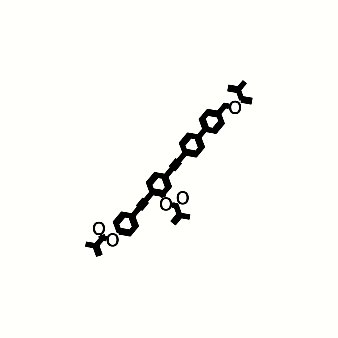 C=C(C)C(=C)OCc1ccc(-c2ccc(C#Cc3ccc(C#Cc4ccc(OC(=O)C(=C)C)cc4)c(OC(=O)C(=C)C)c3)cc2)cc1